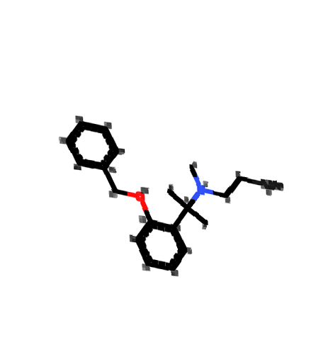 CNCCN(C)C(C)(C)c1ccccc1OCc1ccccc1